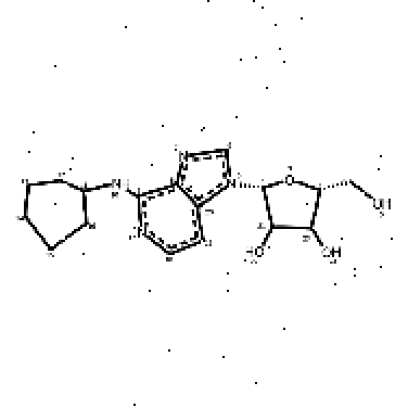 OC[C@H]1O[C@@H](n2cnc3c(NC4CCCCC4)nccc32)C(O)C1O